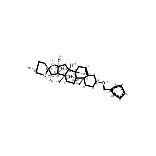 C[C@@H]1CC[C@@]2(OC1)O[C@H]1C[C@H]3[C@@H]4CC=C5C[C@@H](OCc6ccccc6)CC[C@]5(C)[C@H]4CC[C@]3(C)[C@H]1[C@@H]2C